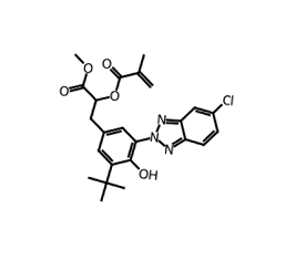 C=C(C)C(=O)OC(Cc1cc(-n2nc3ccc(Cl)cc3n2)c(O)c(C(C)(C)C)c1)C(=O)OC